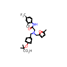 Cc1ccc(CN(CC(=O)Nc2ccc(C(F)(F)F)cc2C(F)(F)F)Cc2ccc(OC(C)(C)C(=O)O)cc2)o1